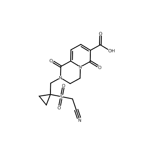 N#CCS(=O)(=O)C1(CN2CCn3c(ccc(C(=O)O)c3=O)C2=O)CC1